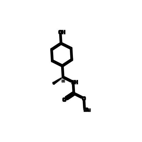 C[C@@H](NC(=O)OC(C)(C)C)C1CCC(O)CC1